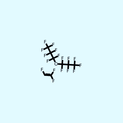 FC(F)(F)C(F)(F)C(F)(F)OC(F)(F)C(F)(F)C(F)(F)F.FC=C(F)F